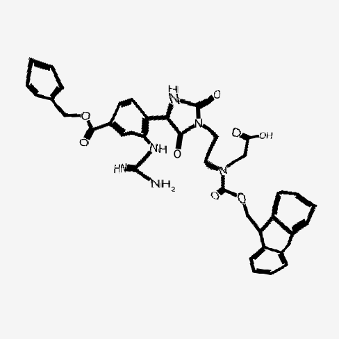 N=C(N)Nc1cc(C(=O)OCc2ccccc2)ccc1C1NC(=O)N(CCN(CC(=O)O)C(=O)OCC2c3ccccc3-c3ccccc32)C1=O